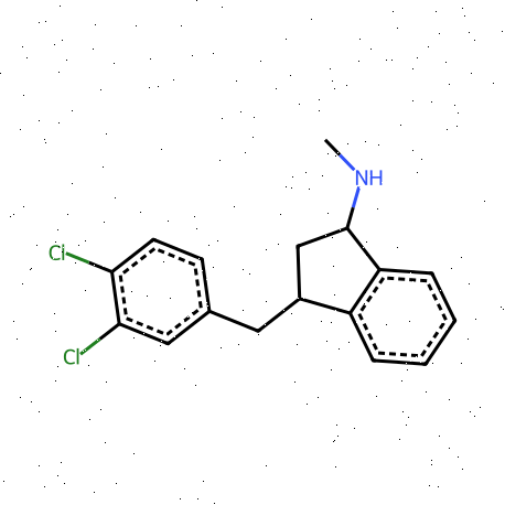 CNC1CC(Cc2ccc(Cl)c(Cl)c2)c2ccccc21